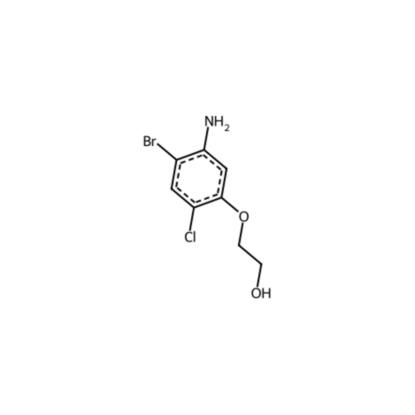 Nc1cc(OCCO)c(Cl)cc1Br